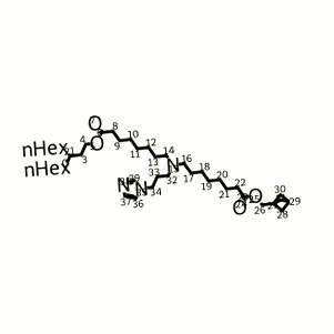 CCCCCCC(CCCCCC)CCOC(=O)CCCCCCCN(CCCCCCCC(=O)OCC12CC(C1)C2)CCCn1ccnc1